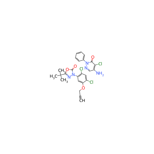 C#CCOc1cc(-n2nc(C(C)(C)C)oc2=O)c(Cl)cc1Cl.Nc1cnn(-c2ccccc2)c(=O)c1Cl